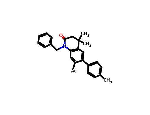 CC(=O)c1cc2c(cc1-c1ccc(C)cc1)C(C)(C)CC(=O)N2Cc1ccccc1